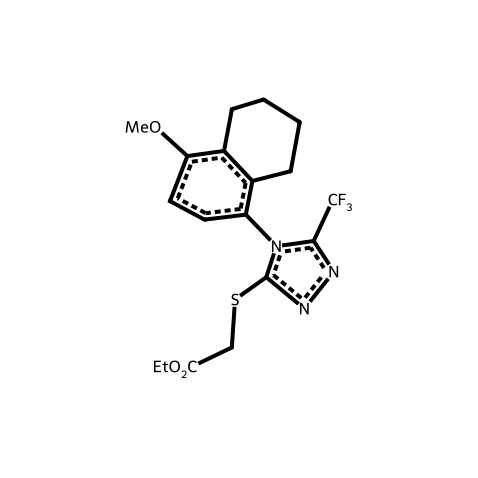 CCOC(=O)CSc1nnc(C(F)(F)F)n1-c1ccc(OC)c2c1CCCC2